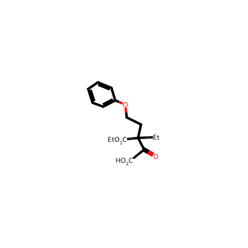 CCOC(=O)C(CC)(CCOc1ccccc1)C(=O)C(=O)O